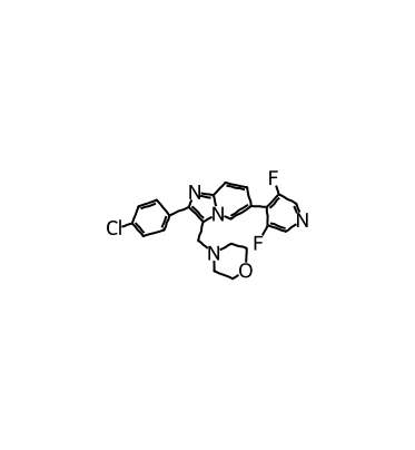 Fc1cncc(F)c1-c1ccc2nc(-c3ccc(Cl)cc3)c(CN3CCOCC3)n2c1